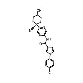 N#C[C@]1(c2ccc(NC(=O)c3ccn(-c4ccc(Cl)cc4)c3)cn2)CC[C@H](O)CC1